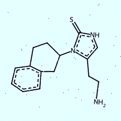 NCCc1c[nH]c(=S)n1C1CCc2ccccc2C1